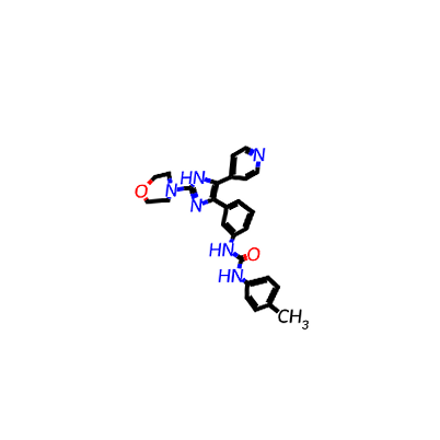 Cc1ccc(NC(=O)Nc2cccc(-c3nc(N4CCOCC4)[nH]c3-c3ccncc3)c2)cc1